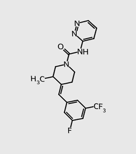 CC1CN(C(=O)Nc2cccnn2)CCC1=Cc1cc(F)cc(C(F)(F)F)c1